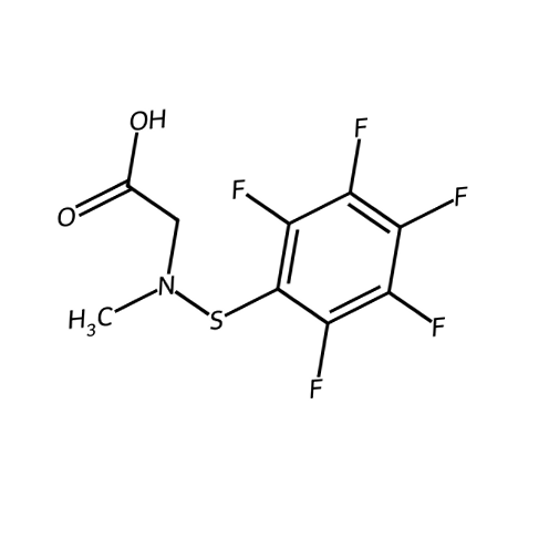 CN(CC(=O)O)Sc1c(F)c(F)c(F)c(F)c1F